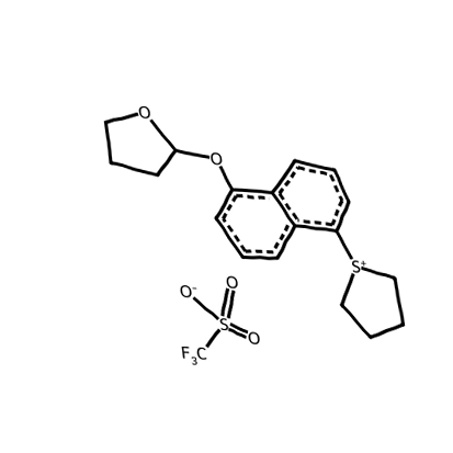 O=S(=O)([O-])C(F)(F)F.c1cc([S+]2CCCC2)c2cccc(OC3CCCO3)c2c1